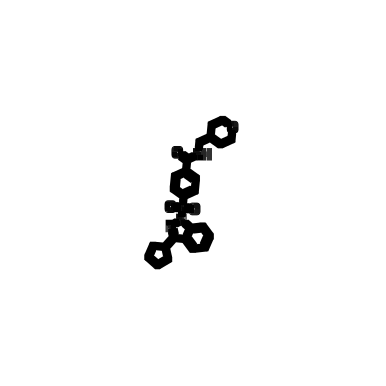 O=C(NCC1CCOCC1)c1ccc(S(=O)(=O)n2nc(C3CCCC3)c3ccccc32)cc1